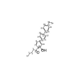 CCCCC(=O)c1ccc(-c2ccc(-c3ccc(CC)cc3)cc2)cc1O